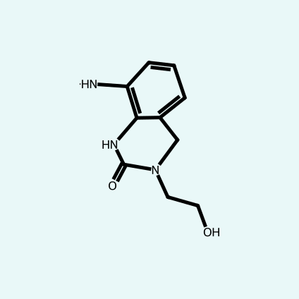 [NH]c1cccc2c1NC(=O)N(CCO)C2